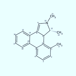 Cc1cccc2c1C1C(=CN(C)[C@@H]1C)c1ccccc1-2